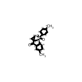 Cc1ccc(S(=O)(=O)N2c3ccc(C)cc3C(=O)C23CC3)cc1